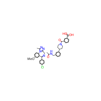 COc1ccc2c(c1)C(c1ccc(Cl)cc1)=N[C@@H](CC(=O)NCc1cccc(C3CCN(C(=O)c4cccc(B(O)O)c4)CC3)c1)c1nnc(C)n1-2